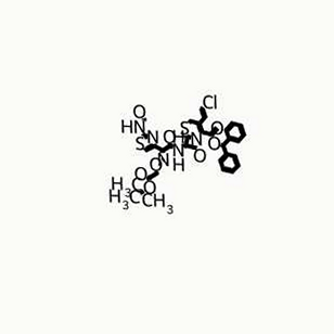 CC(C)(C)OC(=O)CON=C(C(=O)NC1C(=O)N2C(C(=O)OC(c3ccccc3)c3ccccc3)=C(/C=C/Cl)CS[C@@H]12)c1csc(NC=O)n1